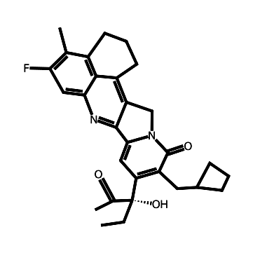 CC[C@@](O)(C(C)=O)c1cc2n(c(=O)c1CC1CCC1)Cc1c-2nc2cc(F)c(C)c3c2c1CCC3